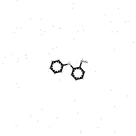 CC(=O)Nc1ccccc1[Se]c1ccccc1